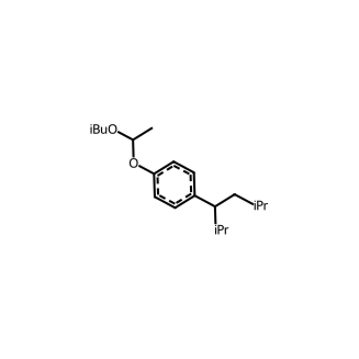 CC(C)COC(C)Oc1ccc(C(CC(C)C)C(C)C)cc1